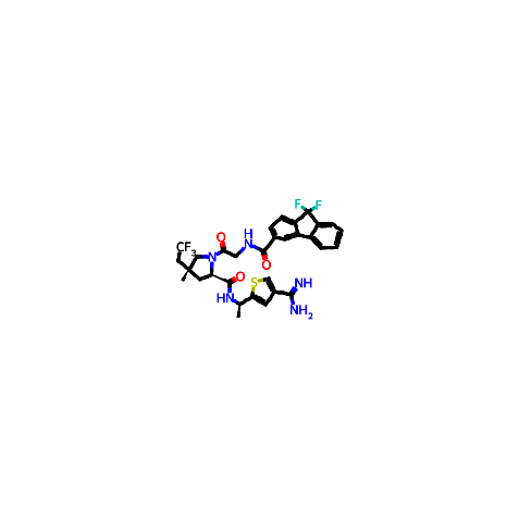 C[C@@H](NC(=O)[C@H]1C[C@](C)(CC(F)(F)F)CN1C(=O)CNC(=O)c1ccc2c(c1)-c1ccccc1C2(F)F)c1cc(C(=N)N)cs1